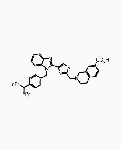 CCCC(CCC)c1ccc(Cn2c(-c3csc(CN4CCc5ccc(C(=O)O)cc5C4)n3)nc3ccccc32)cc1